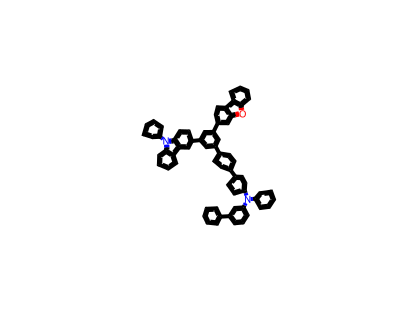 c1ccc(-c2cccc(N(c3ccccc3)c3ccc(-c4ccc(-c5cc(-c6ccc7c(c6)oc6ccccc67)cc(-c6ccc7c(c6)c6ccccc6n7-c6ccccc6)c5)cc4)cc3)c2)cc1